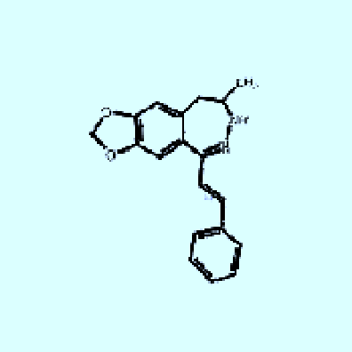 CC1Cc2cc3c(cc2C(/C=C/c2ccccc2)=NN1)OCO3